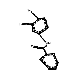 O=C(Nc1ccc(Br)c(F)c1)c1ccccn1